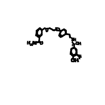 NC(=O)c1cccc(COCCOc2ccc(CCNC[C@H](O)c3ccc(O)c(F)c3)cc2)c1